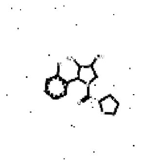 CCc1ccccc1C1C(N)C(C(C)(C)C)CN1C(=O)[C@@H]1CCCO1